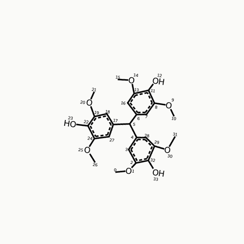 COc1cc(C(c2cc(OC)c(O)c(OC)c2)c2cc(OC)c(O)c(OC)c2)cc(OC)c1O